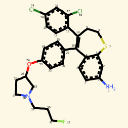 Nc1ccc2c(c1)SCCC(c1ccc(Cl)cc1Cl)=C2c1ccc(OC2CCN(CCCF)C2)cc1